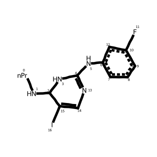 CCCNC1NC(Nc2cccc(F)c2)=NC=C1I